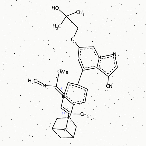 C=N/C(=C\C=C(/C)N1C2CC1CN(c1ccc(-c3cc(OCC(C)(C)O)cn4ncc(C#N)c34)cn1)C2)OC